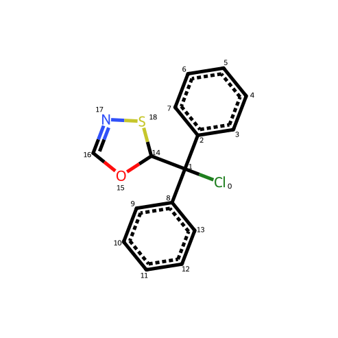 ClC(c1ccccc1)(c1ccccc1)C1OC=NS1